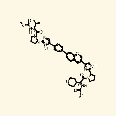 COC(=O)N[C@H](C(=O)N1CCC[C@H]1c1ncc(-c2ccc(-c3ccc4cc(-c5c[nH]c(C6CCCN6C(=O)[C@@H](NC(=O)OC)C6CCOCC6)n5)cnc4c3)cn2)[nH]1)C(C)C